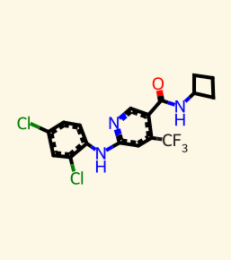 O=C(NC1CCC1)c1cnc(Nc2ccc(Cl)cc2Cl)cc1C(F)(F)F